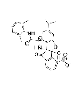 Cc1cccc(C)c1NC(=O)C(=O)NC12C(=O)c3cccc([N+](=O)[O-])c3C1(O)Oc1cc(C(C)C)ccc12